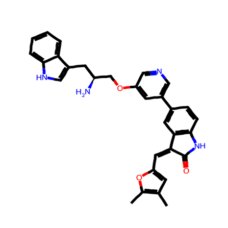 Cc1cc(C=C2C(=O)Nc3ccc(-c4cncc(OC[C@@H](N)Cc5c[nH]c6ccccc56)c4)cc32)oc1C